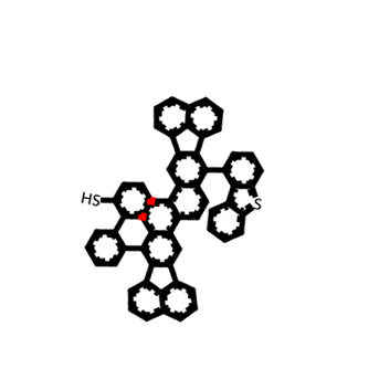 Sc1ccccc1-c1ccccc1-c1c2c(cc3c1ccc1c4cc5c(c(-c6cccc7sc8ccccc8c67)c4ccc31)-c1cccc3cccc-5c13)-c1cccc3cccc-2c13